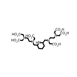 O=C(O)CN(CCN(CC(=O)O)CC1CCCC(CN(CCN(CC(=O)O)CC(=O)O)CC(=O)O)N1)CC(=O)O